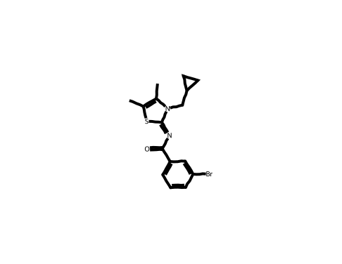 Cc1s/c(=N\C(=O)c2cccc(Br)c2)n(CC2CC2)c1C